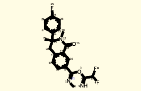 C/N=C(\OC(=N)C(F)F)c1ccc2c(c1)C(=O)N(C)C(C)(c1ccc(F)cc1)C2